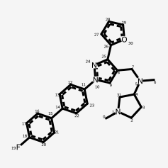 CN1CCC(N(C)Cc2cn(-c3ccc(-c4ccc(F)cc4)cc3)nc2-c2ccco2)C1